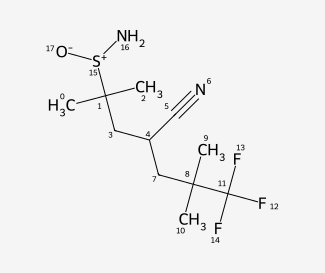 CC(C)(CC(C#N)CC(C)(C)C(F)(F)F)[S+](N)[O-]